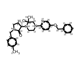 Cc1ccc(CN2CCC(N3CCN(c4ccc(OCc5ccccc5)cn4)CC3(C)C)C2=O)cc1